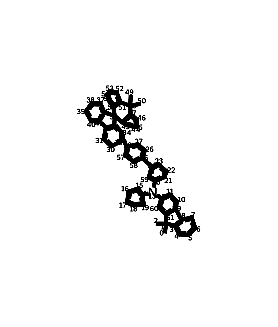 CC1(C)c2ccccc2-c2ccc(N(c3ccccc3)c3cccc(-c4ccc(-c5ccc6c(c5)C5(c7ccccc7-6)c6ccccc6C(C)(C)c6ccccc65)cc4)c3)cc21